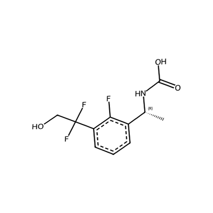 C[C@@H](NC(=O)O)c1cccc(C(F)(F)CO)c1F